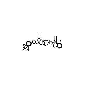 Cc1nc2cc(OC[C@@H](O)CN3CCN(CC(=O)Nc4c(C)cccc4C)C[C@H]3C)ccc2s1